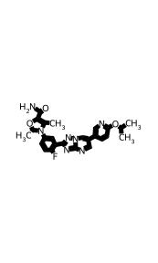 CC1=C(C(N)=O)OC(C)N1c1ccc(F)c(-c2nc3ncc(-c4ccc(OC(C)C)nc4)cn3n2)c1